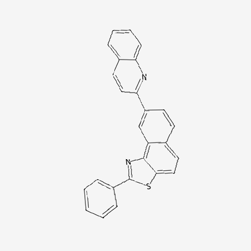 c1ccc(-c2nc3c(ccc4ccc(-c5ccc6ccccc6n5)cc43)s2)cc1